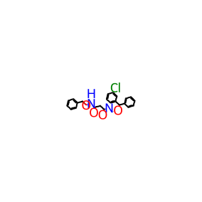 CN(C(=O)CC(=O)NOCc1ccccc1)c1ccc(Cl)cc1C(=O)c1ccccc1